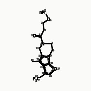 CCCOCCC(=O)N1CCn2c(c(C)c3c(C(F)(F)F)coc32)C1